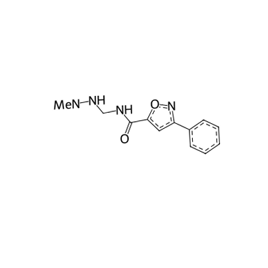 CNNCNC(=O)c1cc(-c2ccccc2)no1